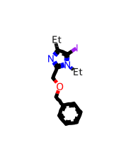 CCc1nc(COCc2ccccc2)n(CC)c1I